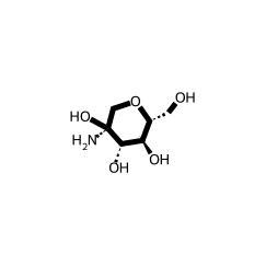 N[C@]1(O)CO[C@H](CO)[C@@H](O)[C@@H]1O